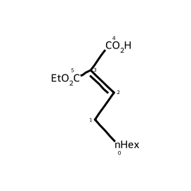 CCCCCCCC=C(C(=O)O)C(=O)OCC